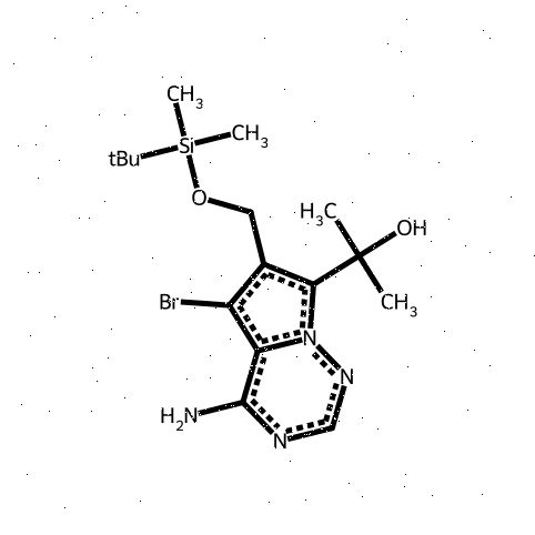 CC(C)(O)c1c(CO[Si](C)(C)C(C)(C)C)c(Br)c2c(N)ncnn12